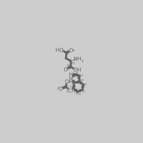 CC(=O)O.N[C@@H](CC(=O)O)C(=O)O.c1ccc2[nH]ccc2c1